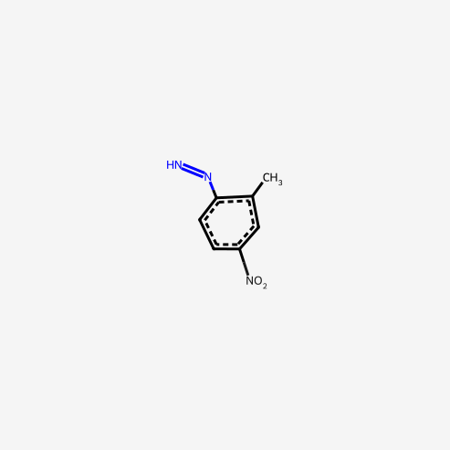 Cc1cc([N+](=O)[O-])ccc1N=N